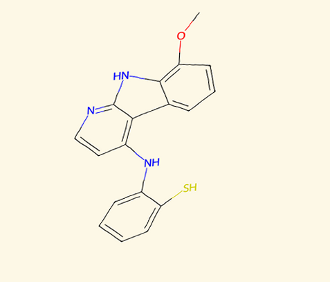 COc1cccc2c1[nH]c1nccc(Nc3ccccc3S)c12